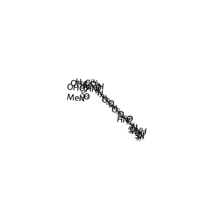 CNC(=O)CCC(C=O)N(C=O)Cc1c(C)cccc1NC(=O)CNCCOCCOCCOCCOCCNC(=O)CCc1cccc(Nc2nccs2)n1